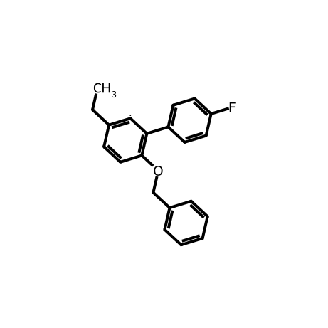 CCc1[c]c(-c2ccc(F)cc2)c(OCc2ccccc2)cc1